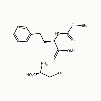 COC(=O)[C@@H](CCc1ccccc1)NC(=O)OC(C)(C)C.N[C@@H](CO)C(=O)O